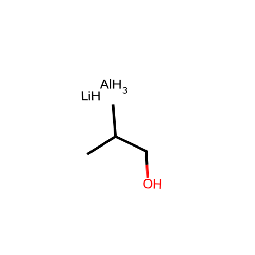 CC(C)CO.[AlH3].[LiH]